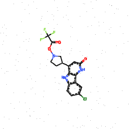 O=C(ON1CCC(c2cc(=O)[nH]c3c2[nH]c2ccc(Cl)cc23)C1)C(F)(F)F